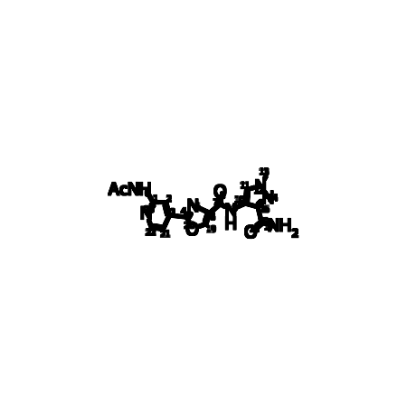 CC(=O)Nc1cc(-c2nc(C(=O)Nc3cn(C)nc3C(N)=O)co2)ccn1